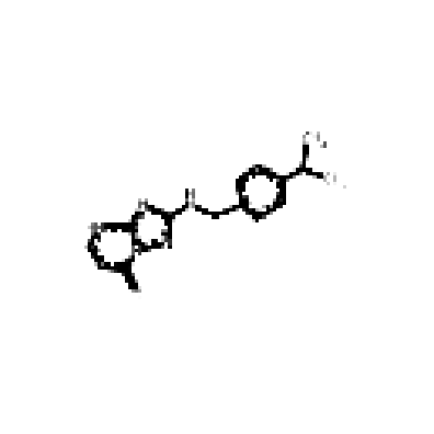 CC(C)c1ccc(CNc2nc3[nH]ccc(=O)n3n2)cc1